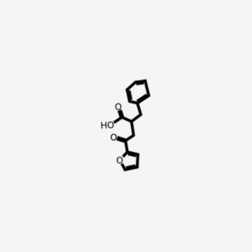 O=C(CC(Cc1ccccc1)C(=O)O)c1ccco1